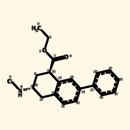 CCOC(=O)[C@@H]1C[C@@H](NCl)Cc2ccc(-c3ccccc3)cc21